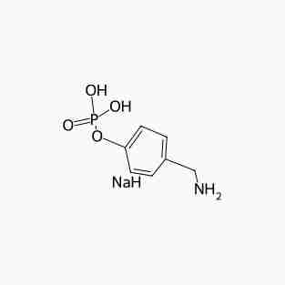 NCc1ccc(OP(=O)(O)O)cc1.[NaH]